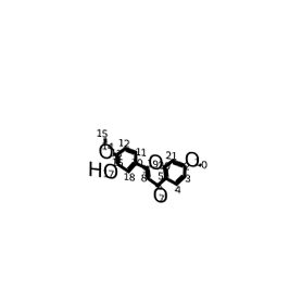 COc1ccc2c(=O)cc(-c3ccc(OC)c(O)c3)oc2c1